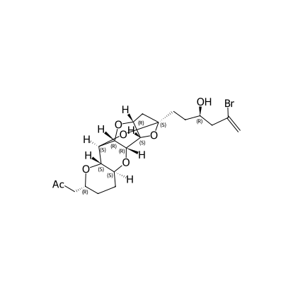 C=C(Br)C[C@H](O)CC[C@@]12C[C@H]3O[C@H]4[C@@H](O1)[C@H]1O[C@@H](CC(C)=O)CC[C@@H]1O[C@H]4[C@H]3O2